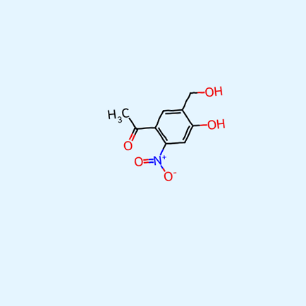 CC(=O)c1cc(CO)c(O)cc1[N+](=O)[O-]